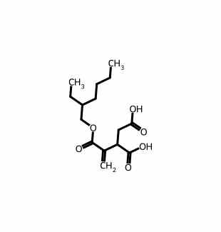 C=C(C(=O)OCC(CC)CCCC)C(CC(=O)O)C(=O)O